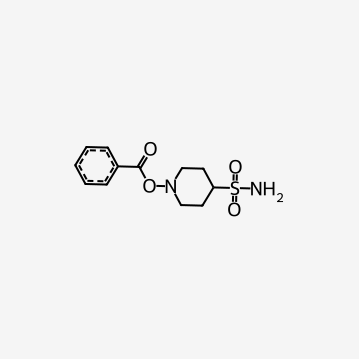 NS(=O)(=O)C1CCN(OC(=O)c2ccccc2)CC1